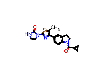 Cc1sc(N2CCNC2=O)nc1-c1ccc2c(c1)CCN2C(=O)C1CC1